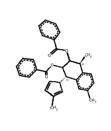 CC1=CC([C@H]2c3cc(C)ccc3[C@H](C)C(OC(=O)c3ccccc3)C2OC(=O)c2ccccc2)C=C1